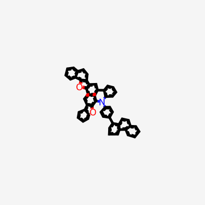 c1ccc(N(c2ccc(-c3cccc4c3ccc3ccccc34)cc2)c2cccc3c2oc2ccccc23)c(-c2ccc3oc4c5ccccc5ccc4c3c2)c1